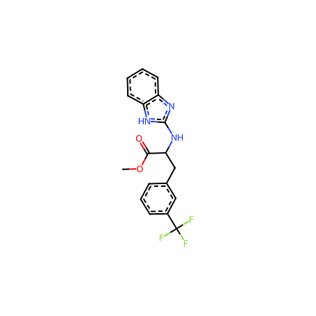 COC(=O)C(Cc1cccc(C(F)(F)F)c1)Nc1nc2ccccc2[nH]1